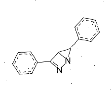 c1ccc(C2=NN3C2C3c2ccccc2)cc1